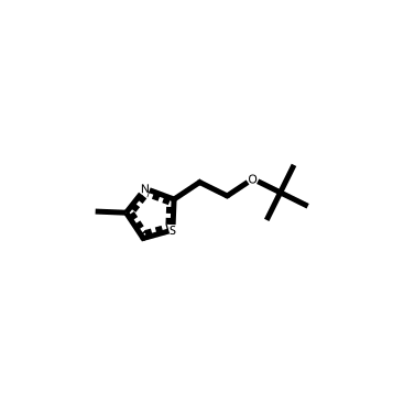 Cc1csc([CH]COC(C)(C)C)n1